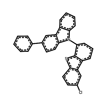 Clc1ccc2sc3c(-n4c5ccccc5c5cc(-c6ccccc6)ccc54)cccc3c2c1